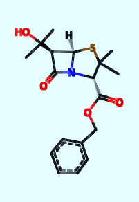 CC(C)(O)[C@@H]1C(=O)N2[C@@H]1SC(C)(C)[C@@H]2C(=O)OCc1ccccc1